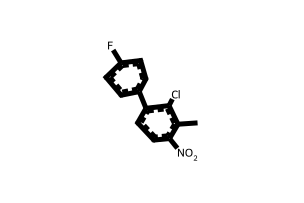 Cc1c([N+](=O)[O-])ccc(-c2ccc(F)cc2)c1Cl